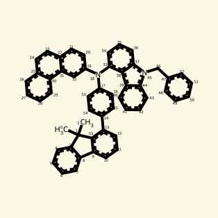 CC1(C)c2ccccc2-c2cccc(-c3ccc(N(c4ccc5ccc6ccccc6c5c4)c4cccc5c4c4ccccc4n5Cc4ccccc4)cc3)c21